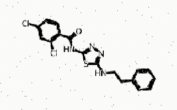 O=C(Nc1nnc(NCCc2ccccc2)s1)c1ccc(Cl)cc1Cl